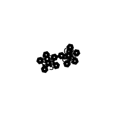 c1ccc(B2c3ccccc3Oc3c2c2c(c4oc5cc(-c6cccc(B7c8ccccc8Sc8c7c7c(c9sc%10ccccc%10c89)B(c8ccccc8)c8ccccc8S7)c6)ccc5c34)B(c3ccccc3)c3ccccc3O2)cc1